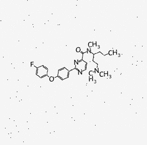 CCCC(CCN(C)C)N(C)C(=O)c1ccnc(-c2ccc(Oc3ccc(F)cc3)cc2)n1